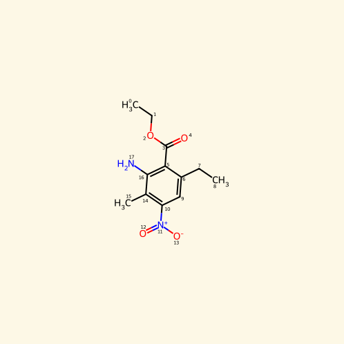 CCOC(=O)c1c(CC)cc([N+](=O)[O-])c(C)c1N